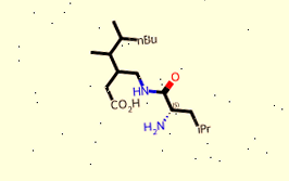 CCCCC(C)C(C)C(CNC(=O)[C@@H](N)CC(C)C)CC(=O)O